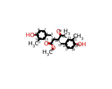 COC(=O)[C@H](Cc1ccc(O)c(C)c1)[C@@H](Cc1ccc(O)c(C)c1)C(C)=O